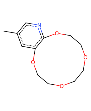 Cc1cnc2c(c1)OCCOCCOCCO2